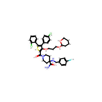 NC(=O)C1(NCc2ccc(F)cc2)CCN(C(=O)c2sc(-c3ccccc3Cl)c(-c3ccc(Cl)cc3)c2OCCCOC2CCCCO2)CC1